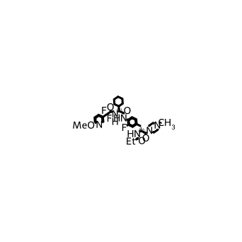 CCC(=O)N[C@H](Cc1ccc(NC(=O)[C@@H](NC(=O)C(F)(F)c2ccc(OC)nc2)C2CCCCC2)c(F)c1)C(=O)N1CCN(C)CC1